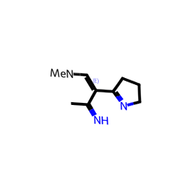 CN/C=C(\C(C)=N)C1=NCCC1